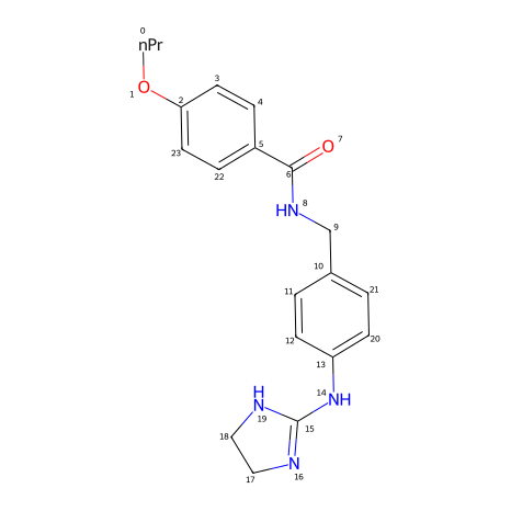 CCCOc1ccc(C(=O)NCc2ccc(NC3=NCCN3)cc2)cc1